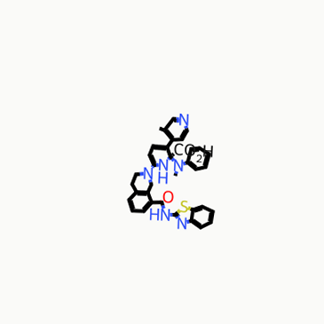 Cc1cnccc1C1=CC=C(N2CCc3cccc(C(=O)Nc4nc5ccccc5s4)c3C2)NC1(C(=O)O)N(C)c1ccccc1